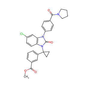 COC(=O)c1cccc(C2(n3c(=O)n(-c4ccc(C(=O)N5CCCC5)cc4)c4cc(Cl)ccc43)CC2)c1